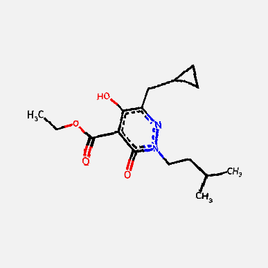 CCOC(=O)c1c(O)c(CC2CC2)nn(CCC(C)C)c1=O